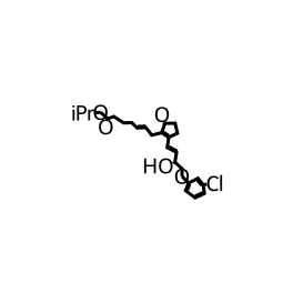 CC(C)OC(=O)CCCC=CCC1=C(C=C[C@@H](O)COc2cccc(Cl)c2)CCC1=O